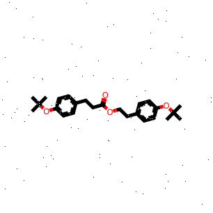 CC(C)(C)Oc1ccc(CCOC(=O)CCc2ccc(OC(C)(C)C)cc2)cc1